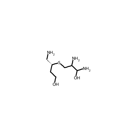 NC[C@@H](CCO)SCC(N)C(N)O